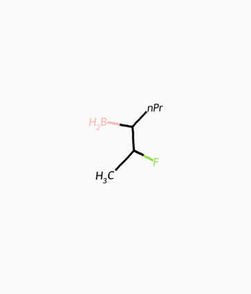 BC(CCC)C(C)F